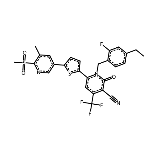 CCc1ccc(Cn2c(-c3ccc(-c4cnc(S(C)(=O)=O)c(C)c4)s3)cc(C(F)(F)F)c(C#N)c2=O)c(F)c1